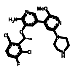 COc1cnc(N2CCNCC2)cc1-c1cnc(N)c(O[C@H](C)c2c(Cl)ccc(F)c2Cl)c1